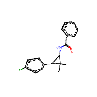 CC1(C)[C@@H](NC(=O)c2ccccc2)[C@@H]1c1ccc(Cl)cc1